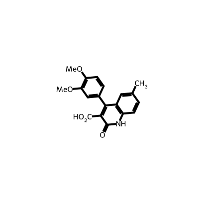 COc1ccc(-c2c(C(=O)O)c(=O)[nH]c3ccc(C)cc23)cc1OC